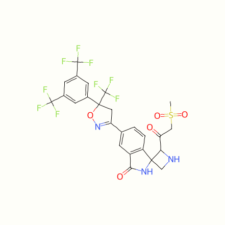 CS(=O)(=O)CC(=O)C1NCC12NC(=O)c1cc(C3=NOC(c4cc(C(F)(F)F)cc(C(F)(F)F)c4)(C(F)(F)F)C3)ccc12